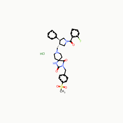 CS(=O)(=O)c1ccc(CN2C(=O)NC3(CCN(C[C@H]4CN(C(=O)c5ccccc5F)C[C@@H]4c4ccccc4)CC3)C2=O)cc1.Cl